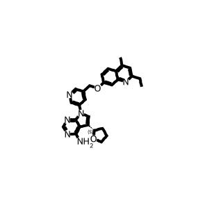 CCc1cc(C)c2ccc(OCc3cncc(-n4cc([C@@H]5CCCO5)c5c(N)ncnc54)c3)cc2n1